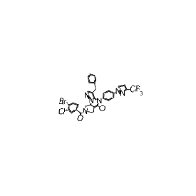 O=C(c1ccc(Br)c(Cl)c1)N1CCc2c(n3ncc(Cc4ccccc4)c3n(-c3ccc(-n4ccc(C(F)(F)F)n4)cc3)c2=O)C1